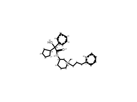 C[N@@+]1(CCCc2ccccn2)CCCC(OC(=O)C(O)(c2ccccc2)C2CCCC2)C1